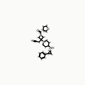 N#CCC1(N2CCC(N[C@@H]3CC3c3ccccc3)CC2)CN(C(=O)[C@@H]2CCOC2)C1